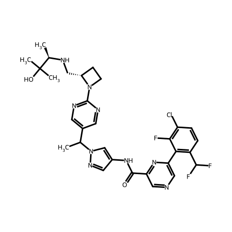 CC(c1cnc(N2CC[C@H]2CN[C@H](C)C(C)(C)O)nc1)n1cc(NC(=O)c2cncc(-c3c(C(F)F)ccc(Cl)c3F)n2)cn1